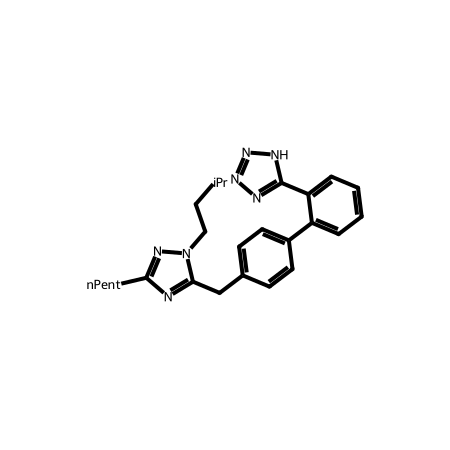 CCCCCc1nc(Cc2ccc(-c3ccccc3-c3nnn[nH]3)cc2)n(CCC(C)C)n1